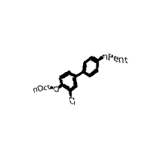 CCCCCCCCOc1ccc(-c2ccc(CCCCC)cc2)cc1Cl